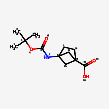 CC(C)(C)OC(=O)NC12CCC(C(=O)O)(C1)C2